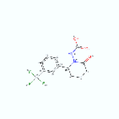 O=C(O)NN1C(=O)CCCC1c1cccc(C(F)(F)F)c1